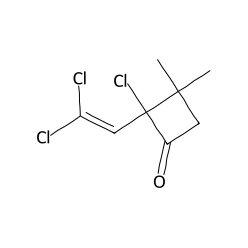 CC1(C)CC(=O)C1(Cl)C=C(Cl)Cl